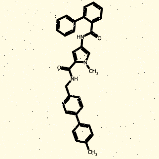 Cc1ccc(-c2ccc(CNC(=O)c3cc(NC(=O)c4ccccc4-c4ccccc4)cn3C)cc2)cc1